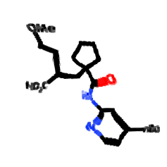 CCCCc1ccnc(NC(=O)C2(CC(CCOC)C(=O)O)CCCC2)c1